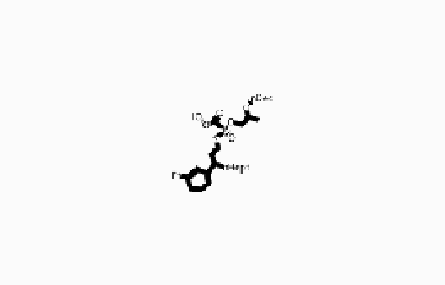 CCCCCCCCCCOC(C)COP(=O)(SCCC(CCCCCCC)c1cccc(CC)c1)C(=O)OO